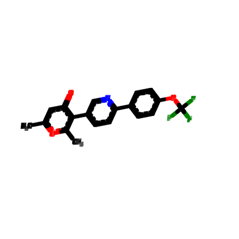 Cc1cc(=O)c(-c2ccc(-c3ccc(OC(F)(F)F)cc3)nc2)c(C)o1